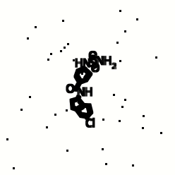 NS(=O)(=O)Nc1ccc(C(=O)NC2CCc3cc(Cl)ccc32)cc1